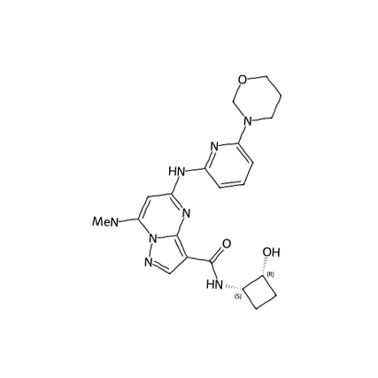 CNc1cc(Nc2cccc(N3CCCOC3)n2)nc2c(C(=O)N[C@H]3CC[C@H]3O)cnn12